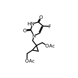 CC(=O)OCC1CC1(COC(C)=O)Cn1cc(F)c(=O)[nH]c1=O